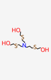 OCCSCCCN(CCSCCO)CCSCCO